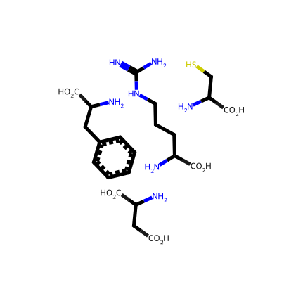 N=C(N)NCCCC(N)C(=O)O.NC(CC(=O)O)C(=O)O.NC(CS)C(=O)O.NC(Cc1ccccc1)C(=O)O